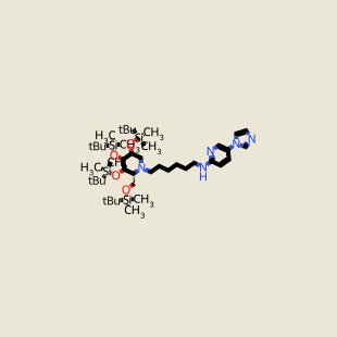 CC(C)(C)[Si](C)(C)OC[C@@H]1C(O[Si](C)(C)C(C)(C)C)C(O[Si](C)(C)C(C)(C)C)C(O[Si](C)(C)C(C)(C)C)CN1CCCCCCNc1ccc(-n2ccnc2)cn1